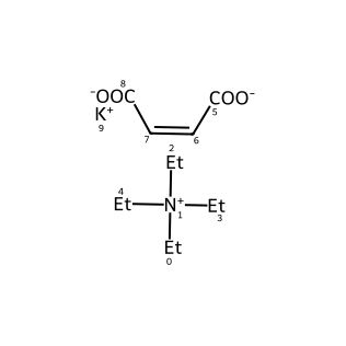 CC[N+](CC)(CC)CC.O=C([O-])/C=C\C(=O)[O-].[K+]